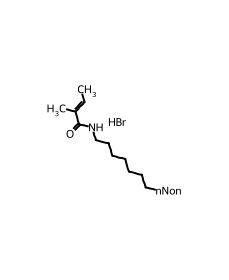 Br.CC=C(C)C(=O)NCCCCCCCCCCCCCCCC